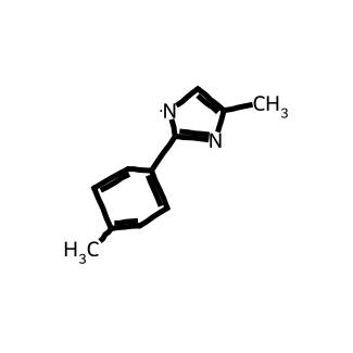 CC1=C[N]C(c2ccc(C)cc2)=N1